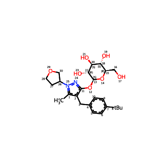 Cc1c(Cc2ccc(C(C)(C)C)cc2)c(O[C@@H]2O[C@H](CO)[C@@H](O)[C@H](O)[C@H]2O)nn1C1CCOC1